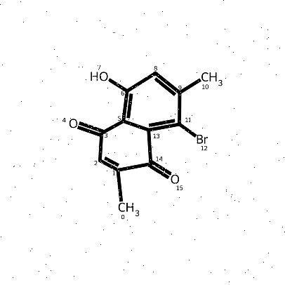 CC1=CC(=O)c2c(O)cc(C)c(Br)c2C1=O